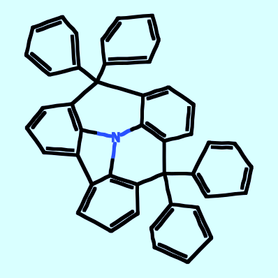 c1ccc(C2(c3ccccc3)c3cccc4c3-n3c5c2cccc5c2cccc(c23)C4(c2ccccc2)c2ccccc2)cc1